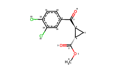 COC(=O)[C@H]1C[C@@H]1C(=O)c1ccc(Cl)c(Cl)c1